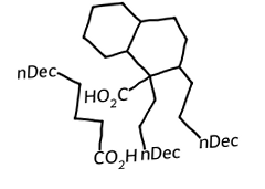 CCCCCCCCCCCCC1CCC2CCCCC2C1(CCCCCCCCCCCC)C(=O)O.CCCCCCCCCCCCCC(=O)O